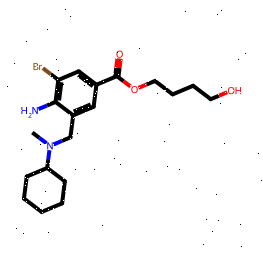 CN(Cc1cc(C(=O)OCCCCO)cc(Br)c1N)C1CCCCC1